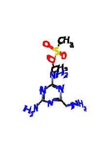 COS(C)(=O)=O.Nc1nc(N)nc(N)n1